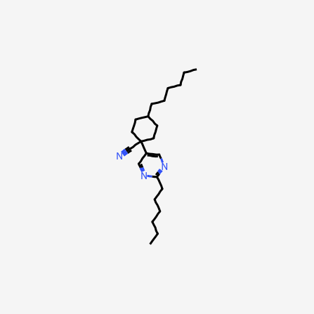 CCCCCCc1ncc(C2(C#N)CCC(CCCCCC)CC2)cn1